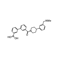 CNCc1cccc(C2CCN(C(=O)c3cccc(-c4cccc(B(O)O)c4)c3)CC2)c1